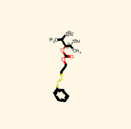 CC([C@H](OC(=O)OCCSSc1ccccc1)[C@@H](C)C(C)(C)C)C(C)(C)C